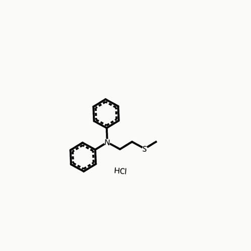 CSCCN(c1ccccc1)c1ccccc1.Cl